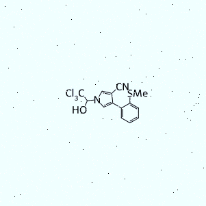 CSc1ccccc1-c1cn(C(O)C(Cl)(Cl)Cl)cc1C#N